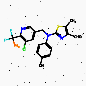 Cc1sc(N(Cc2cnc(C(F)(F)P)c(Cl)c2)c2ccc(C#N)cc2)nc1C=O